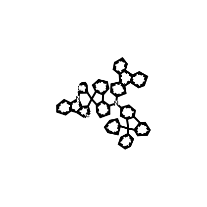 c1ccc(C2(c3ccccc3)c3ccccc3-c3ccc(N(c4ccc5c6ccccc6c6ccccc6c5c4)c4cccc5c4-c4ccccc4C54c5ccccc5-n5c6ccccc6c6cccc4c65)cc32)cc1